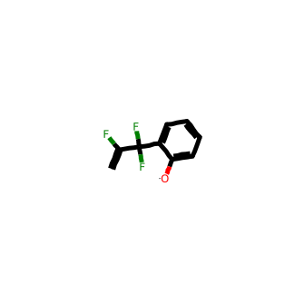 C=C(F)C(F)(F)c1ccccc1[O]